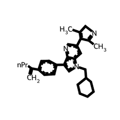 C=C(CCC)c1ccc(-c2cn(CC3CCCCC3)c3cc(C4=C(C)CN=C4C)cnc23)cc1